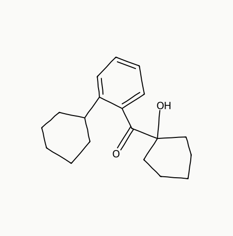 O=C(c1ccccc1C1CCCCC1)C1(O)CCCCC1